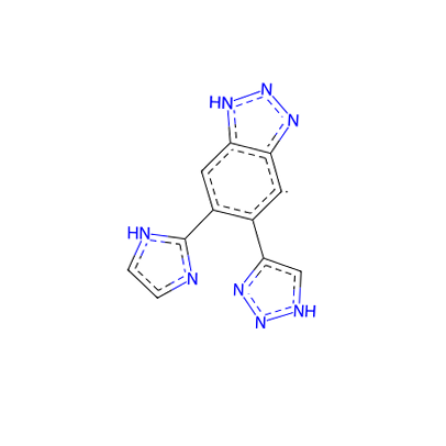 [c]1c(-c2c[nH]nn2)c(-c2ncc[nH]2)cc2[nH]nnc12